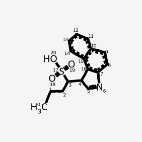 CCCC(C1C=Nc2ccc3ccccc3c21)S(=O)(=O)O